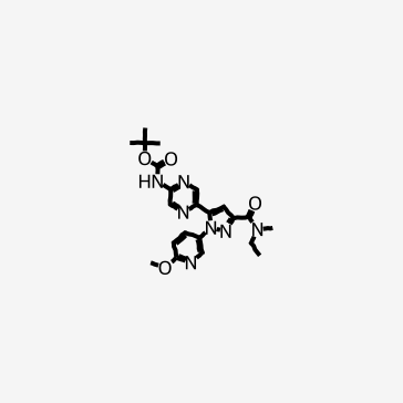 CCN(C)C(=O)c1cc(-c2cnc(NC(=O)OC(C)(C)C)cn2)n(-c2ccc(OC)nc2)n1